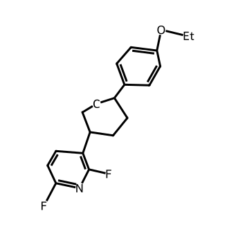 CCOc1ccc(C2CCC(c3ccc(F)nc3F)CC2)cc1